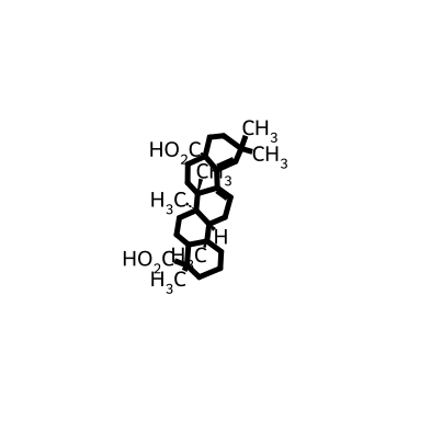 CC1(C)C=C2C3=CC[C@@H]4[C@@]5(C)CCCC(C)(C(=O)O)C5CC[C@@]4(C)[C@]3(C)CC[C@@]2(C(=O)O)CC1